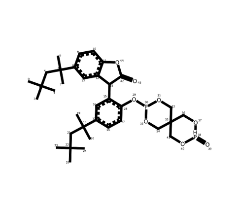 CC(C)(C)CC(C)(C)c1ccc2c(c1)C(c1cc(C(C)(C)CC(C)(C)C)ccc1OP1OCC3(CO1)CO[PH](=O)OC3)C(=O)O2